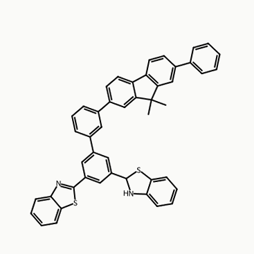 CC1(C)c2cc(-c3ccccc3)ccc2-c2ccc(-c3cccc(-c4cc(-c5nc6ccccc6s5)cc(C5Nc6ccccc6S5)c4)c3)cc21